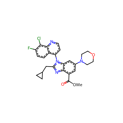 COC(=O)c1cc(N2CCOCC2)cc2c1nc(CC1CC1)n2-c1ccnc2c(Cl)c(F)ccc12